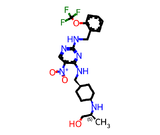 C[C@@H](CO)N[C@H]1CC[C@@H](CNc2nc(NCc3ccccc3OC(F)(F)F)ncc2[N+](=O)[O-])CC1